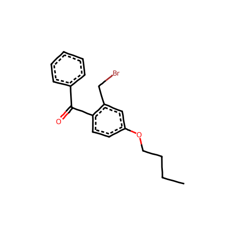 CCCCOc1ccc(C(=O)c2ccccc2)c(CBr)c1